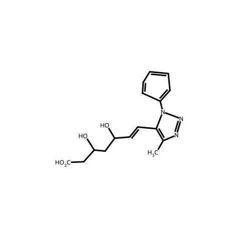 Cc1nnn(-c2ccccc2)c1C=CC(O)CC(O)CC(=O)O